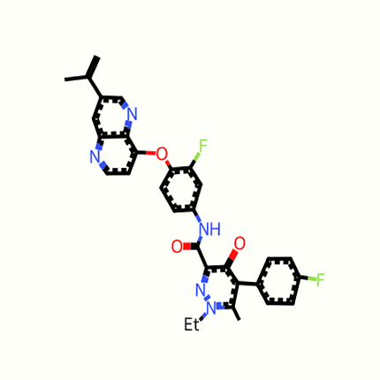 C=C(C)c1cnc2c(Oc3ccc(NC(=O)c4nn(CC)c(C)c(-c5ccc(F)cc5)c4=O)cc3F)ccnc2c1